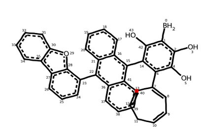 Bc1c(O)c(O)c(C2=CC=CCC=C2)c(-c2c3ccccc3c(-c3cccc4c3oc3ccccc34)c3ccccc23)c1O